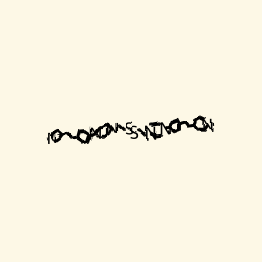 CN1C=CC=C(/C=C/c2ccc(N3CCN(CCSSCCN4CCN(c5ccc(/C=C/c6cc[n+](C)cc6)cc5)CC4)CC3)cc2)C=C1